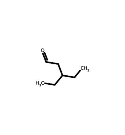 C[CH]C(CC)CC=O